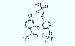 NC(=O)c1ccc(Cl)cc1Cl.O=S(=O)(O)/C=C/c1ccc(OC(F)(F)F)cc1